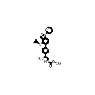 CC(CNC(=O)OC(C)(C)C)c1ccc(-c2ccc3c(cnn3C3CCCCO3)c2OC2CC2)nc1